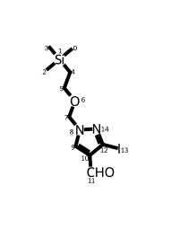 C[Si](C)(C)CCOCn1cc(C=O)c(I)n1